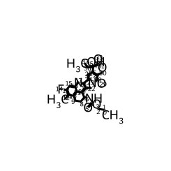 CCCOC(=O)N[C@H]1CCc2c(C)c(F)cc3nc4c(c1c23)Cn1c-4cc2c(c1=O)COC(=O)[C@]2(O)CC